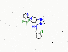 CC(C)C1NC2=C(CCN(c3ncccc3C(F)(F)F)C=C2)C(NCCc2ccccc2Cl)N1